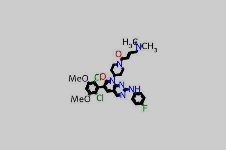 COc1cc(OC)c(Cl)c(-c2cc3cnc(Nc4ccc(F)cc4)nc3n(C3CCN(C(=O)/C=C/CN(C)C)CC3)c2=O)c1Cl